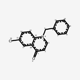 O=c1ccn(Cc2ccccc2)c2ccc(Cl)cc12